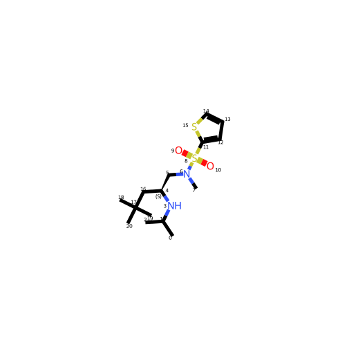 CC(C)N[C@H](CN(C)S(=O)(=O)c1cccs1)CC(C)(C)C